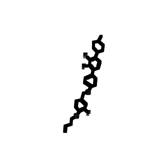 C=CCCOc1ccc(COc2ccc(-c3ccc(C4CCC(C)CC4)c(F)c3F)cc2)cc1F